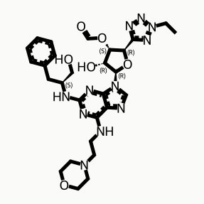 CCn1nnc([C@H]2O[C@@H](n3cnc4c(NCCN5CCOCC5)nc(N[C@H](CO)Cc5ccccc5)nc43)[C@H](O)[C@@H]2OC=O)n1